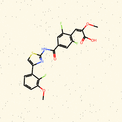 CO/C(=C/c1c(F)cc(C(=O)Nc2nc(-c3cccc(OC)c3F)cs2)cc1F)C(=O)O